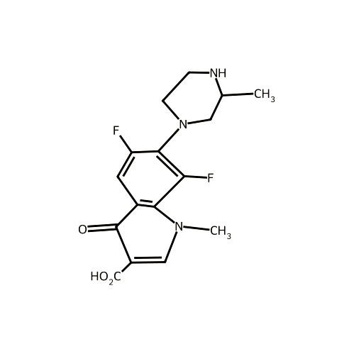 CC1CN(c2c(F)cc3c(=O)c(C(=O)O)cn(C)c3c2F)CCN1